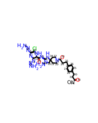 NN=NC1=NC(N=NN)=C(Cl)NC1C(=O)/N=C1/NC2(CCN(C(=O)CCc3ccc(CCC(=O)N=O)cc3)CC2)CN1N